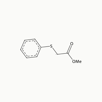 COC(=O)[CH]Sc1ccccc1